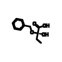 CC[C@@](O)(OCc1ccccc1)C(=O)O